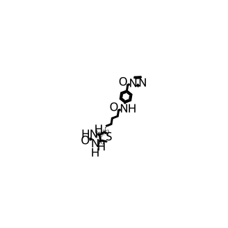 O=C(CCCC[C@@H]1SC[C@@H]2NC(=O)N[C@@H]21)Nc1ccc(C(=O)n2ccnc2)cc1